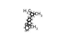 Cc1cc(C)cc(-c2ccc3c(c2)CC(C)(C2CCCCC2)C3=O)c1